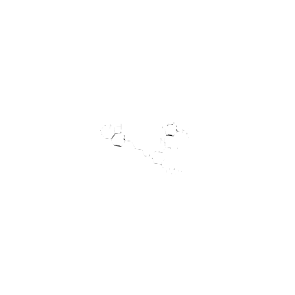 COC(C)CN(CCCCc1ccc2c(n1)NCCC2)CCC(Nc1cc(N(C)C)ncn1)C(=O)O